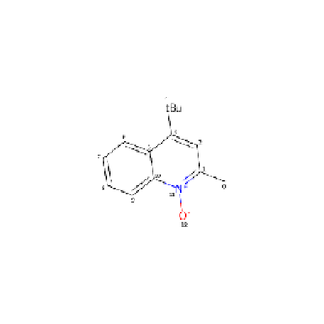 Cc1cc(C(C)(C)C)c2ccccc2[n+]1[O-]